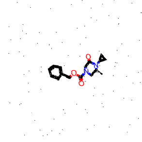 C[C@H]1CN(C(=O)OCc2ccccc2)CC(=O)N1C1CC1